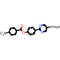 CCCCCCCc1cnc(-c2ccc(OC(=O)c3ccc([N+](=O)[O-])cc3)cc2)nc1